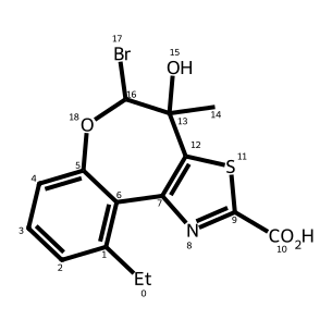 CCc1cccc2c1-c1nc(C(=O)O)sc1C(C)(O)C(Br)O2